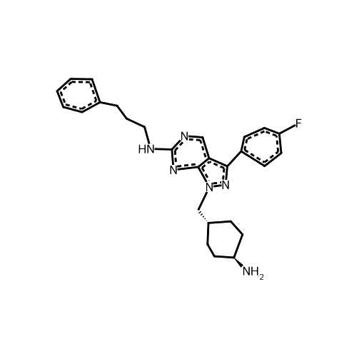 N[C@H]1CC[C@H](Cn2nc(-c3ccc(F)cc3)c3cnc(NCCCc4ccccc4)nc32)CC1